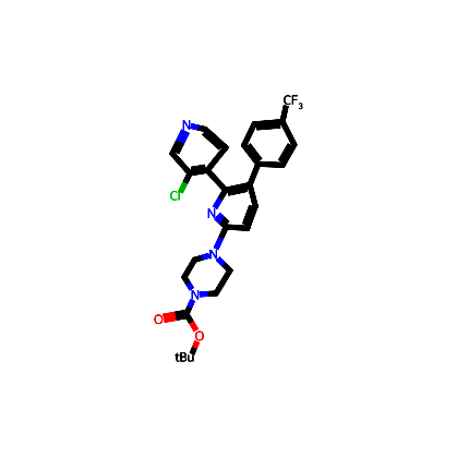 CC(C)(C)OC(=O)N1CCN(c2ccc(-c3ccc(C(F)(F)F)cc3)c(-c3ccncc3Cl)n2)CC1